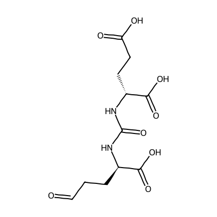 O=CCC[C@@H](NC(=O)N[C@H](CCC(=O)O)C(=O)O)C(=O)O